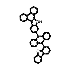 c1ccc2c(c1)oc1c(-c3c4ccccc4c(-c4ccc5c(c4)[nH]c4c6ccccc6c6ccccc6c54)c4ccccc34)cccc12